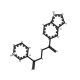 C=C(CCC(=C)c1ccc2sccc2c1)c1cccnc1